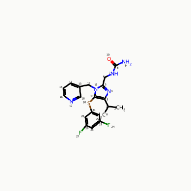 CC(C)c1nc(CNC(N)=O)n(Cc2cccnc2)c1Sc1cc(F)cc(F)c1